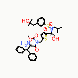 COC(=O)N(Cc1ccc([C@@H](CO)N(CC(C)C)S(=O)(=O)c2cccc(CC(C)(C)O)c2)s1)C(=O)[C@@H](N)C(c1ccccc1)c1ccccc1